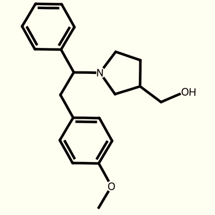 COc1ccc(CC(c2ccccc2)N2CCC(CO)C2)cc1